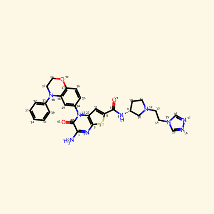 Nc1nc2sc(C(=O)N[C@@H]3CCN(CCn4cnnc4)C3)cc2n(-c2ccc3c(c2)N(c2ccccc2)CCO3)c1=O